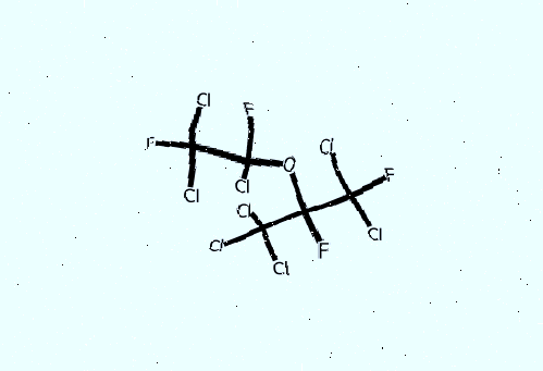 FC(Cl)(Cl)C(F)(Cl)OC(F)(C(F)(Cl)Cl)C(Cl)(Cl)Cl